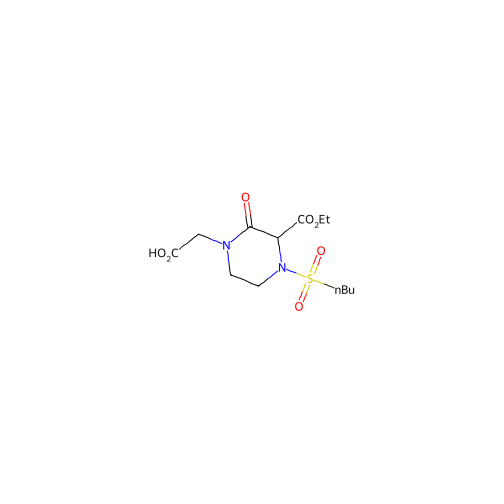 CCCCS(=O)(=O)N1CCN(CC(=O)O)C(=O)C1C(=O)OCC